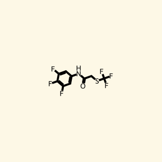 O=C(CSC(F)(F)F)Nc1cc(F)c(F)c(F)c1